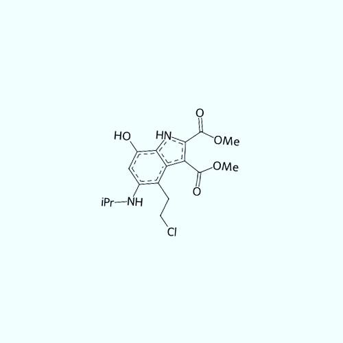 COC(=O)c1[nH]c2c(O)cc(NC(C)C)c(CCCl)c2c1C(=O)OC